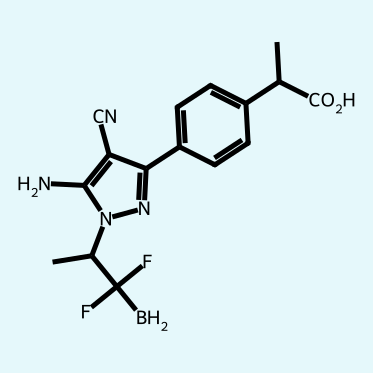 BC(F)(F)C(C)n1nc(-c2ccc(C(C)C(=O)O)cc2)c(C#N)c1N